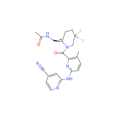 CC(=O)NC[C@H]1CCC(F)(F)CN1C(=O)c1nc(Nc2cc(C#N)ccn2)ccc1C